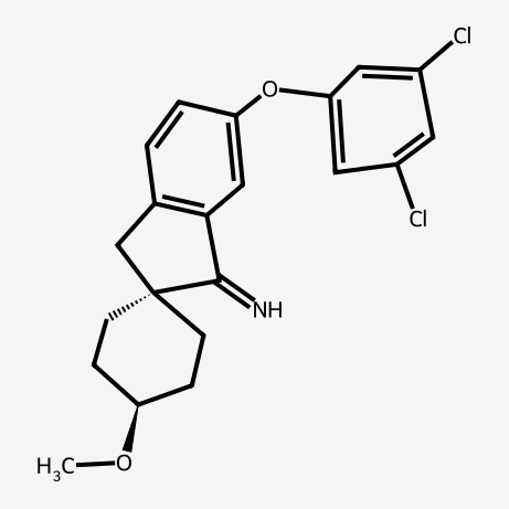 CO[C@H]1CC[C@]2(CC1)Cc1ccc(Oc3cc(Cl)cc(Cl)c3)cc1C2=N